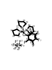 F[P-](F)(F)(F)(F)F.Fc1c(F)c(F)c(O[P+](N2CCCC2)(N2CCCC2)N2CCCC2)c(F)c1F